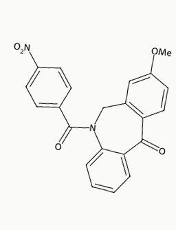 COc1ccc2c(c1)CN(C(=O)c1ccc([N+](=O)[O-])cc1)c1ccccc1C2=O